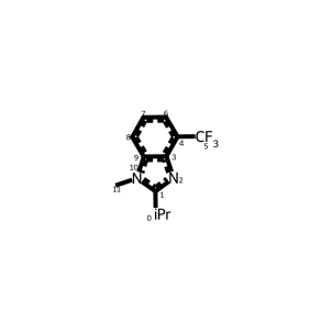 CC(C)c1nc2c(C(F)(F)F)cccc2n1C